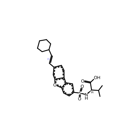 CC(C)[C@@H](NS(=O)(=O)c1ccc2oc3cc(/C=C/C4CCCCC4)ccc3c2c1)C(=O)O